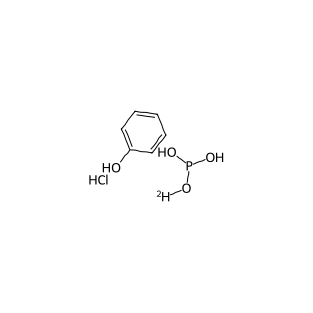 Cl.Oc1ccccc1.[2H]OP(O)O